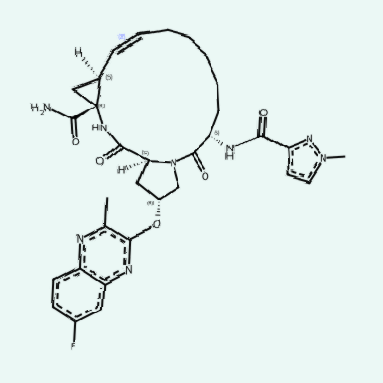 Cc1nc2ccc(F)cc2nc1O[C@@H]1C[C@H]2C(=O)N[C@]3(C(N)=O)C[C@H]3/C=C\CCCCC[C@H](NC(=O)c3ccn(C)n3)C(=O)N2C1